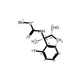 C[C@@H](C=O)[C@](C)(NC(=O)OC(C)(C)C)c1ccccc1F